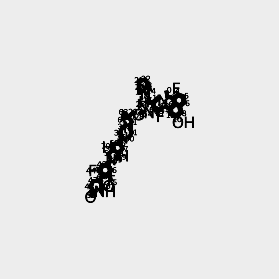 CCc1c(F)ccc2cc(O)cc(-c3ncc4c(N5CC6CCC(C5)N6)nc(OCC5(CN6CCN(C7C[C@@H]8CN(c9cc(F)c(C%10CCC(=O)NC%10=O)c(F)c9)C[C@@H]8C7)CC6)CC5)nc4c3F)c12